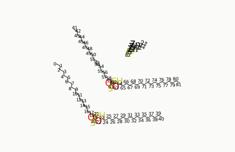 CCCCCCCCCCCCCCCCCCOP(=S)(S)OCCCCCCCCCCCCCCCCCC.CCCCCCCCCCCCCCCCCCOP(=S)(S)OCCCCCCCCCCCCCCCCCC.[S-2].[S-2].[Zn+2].[Zn+2].[Zn+2]